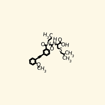 CCCN(C(=O)NC(CSCC(C)C)C(=O)O)C(=O)c1cccc(C#Cc2ccccc2OC)c1